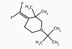 CC1(C)CN(C(C)(C)C)CCC1=C(F)F